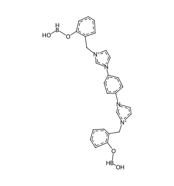 OBOc1ccccc1C[n+]1ccn(-c2ccc(-n3cc[n+](Cc4ccccc4OBO)c3)cc2)c1